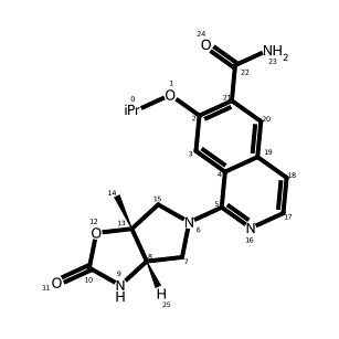 CC(C)Oc1cc2c(N3C[C@@H]4NC(=O)O[C@]4(C)C3)nccc2cc1C(N)=O